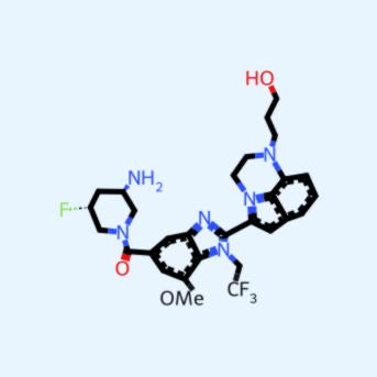 COc1cc(C(=O)N2C[C@H](N)C[C@@H](F)C2)cc2nc(-c3cc4cccc5c4n3CCN5CCCO)n(CC(F)(F)F)c12